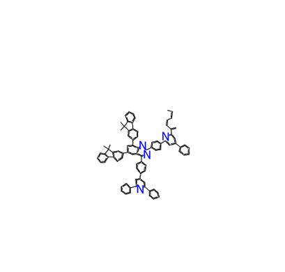 C=C(/C=C\C=C/C)c1cc(-c2ccccc2)cc(-c2ccc(-c3nc(-c4ccc(-c5cc(-c6ccccc6)nc(-c6ccccc6)c5)cc4)c4cc(-c5ccc6c(c5)C(C)(C)c5ccccc5-6)cc(-c5ccc6c(c5)C(C)(C)c5ccccc5-6)c4n3)cc2)n1